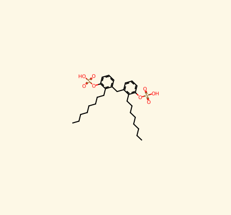 CCCCCCCCc1c(Cc2cccc(OS(=O)(=O)O)c2CCCCCCCC)cccc1OS(=O)(=O)O